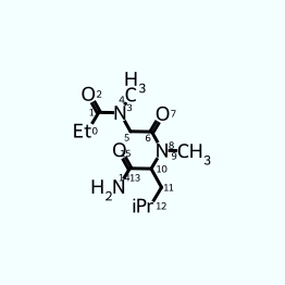 CCC(=O)N(C)CC(=O)N(C)C(CC(C)C)C(N)=O